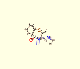 C=C1Sc2ccccc2C(=O)N/C1=C/N=C\C